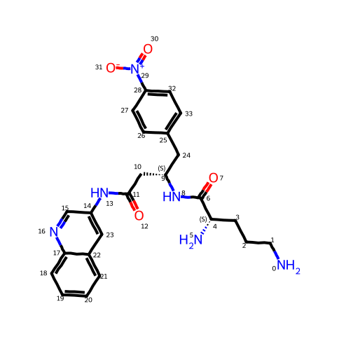 NCCC[C@H](N)C(=O)N[C@H](CC(=O)Nc1cnc2ccccc2c1)Cc1ccc([N+](=O)[O-])cc1